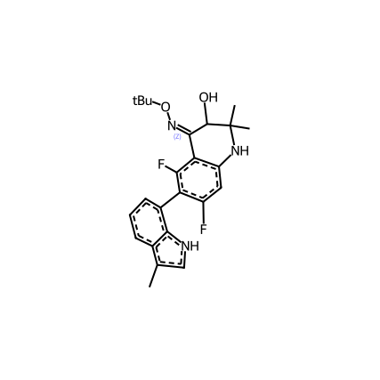 Cc1c[nH]c2c(-c3c(F)cc4c(c3F)/C(=N/OC(C)(C)C)C(O)C(C)(C)N4)cccc12